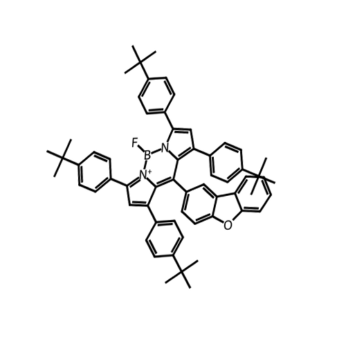 CC(C)(C)c1ccc(C2=CC(c3ccc(C(C)(C)C)cc3)=[N+]3B(F)n4c(-c5ccc(C(C)(C)C)cc5)cc(-c5ccc(C(C)(C)C)cc5)c4C(c4ccc5oc6ccccc6c5c4)=C23)cc1